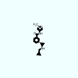 Cn1cc(NC(=O)c2cccc([C@@H]3C[C@H]3NCC3CC3)c2)cn1